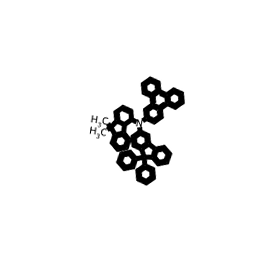 CC1(C)C2=CC=CC(N(c3ccc4c(c3)-c3ccccc3C4(c3ccccc3)c3ccccc3)c3ccc4c5ccccc5c5ccccc5c4c3)C2c2ccccc21